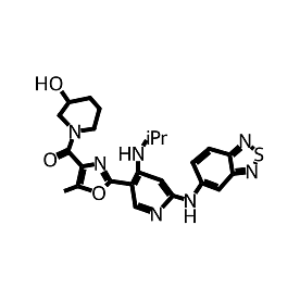 Cc1oc(-c2cnc(Nc3ccc4nsnc4c3)cc2NC(C)C)nc1C(=O)N1CCCC(O)C1